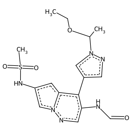 CCOC(C)n1cc(-c2c(NC=O)cnn3cc(NS(C)(=O)=O)cc23)cn1